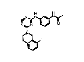 CC(=O)Nc1cccc(Nc2ncnc(N3CCc4cccc(F)c4C3)n2)c1